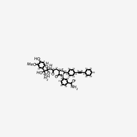 BC(O)(c1ccc(O)c(OC)c1)C(O)(O)NC(=O)CC1SC(c2ccc(C#Cc3ccccc3)cc2)N(c2cccc(C(N)=O)c2)C1=O